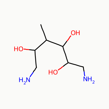 CC(C(O)CN)C(O)C(O)CN